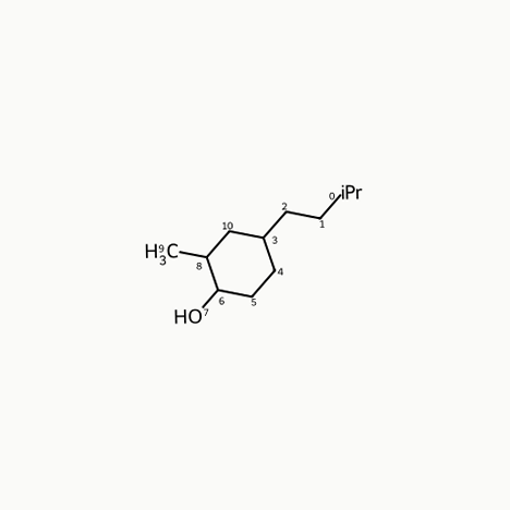 CC(C)CCC1CCC(O)C(C)C1